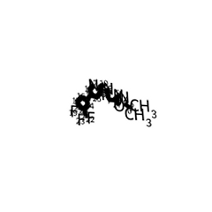 CC(C)c1nnc(Cn2ncc3ncc(-c4ccc(F)c(C(F)F)c4)cc32)o1